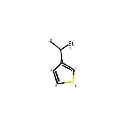 [CH2]C(CC)c1ccsc1